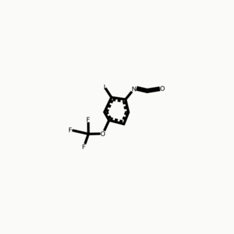 O=C=Nc1ccc(OC(F)(F)F)cc1I